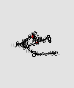 CCCC1O[C@@H]2C[C@H]3[C@@H]4C[C@H](F)C5=CC(=O)C=C[C@]5(C)[C@@]4(F)[C@@H](O)C[C@]3(C)[C@]2(C(=O)CNC(=O)OCc2ccc(NC(=O)[C@H](CCCNC(N)=O)NC(=O)[C@@H](NC(=O)[C@@H](CCCCNC(=O)COC3CCCCCc4c3nnn4CCOCCOCCOCCOCCOCCP(=O)(O)O)NC(=O)CCOCCOCCOCCOCCNC(=O)CCC(=O)N3Cc4ccccc4C#Cc4ccccc43)C(C)C)cc2)O1